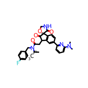 C[C@H](N(Cc1ccc(F)cc1)C(=O)CC1C(=O)[C@]2(OCNC2=O)c2ccc(-c3cccc(N(C)C)n3)cc21)C(F)(F)F